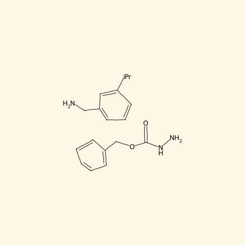 CC(C)c1cccc(CN)c1.NNC(=O)OCc1ccccc1